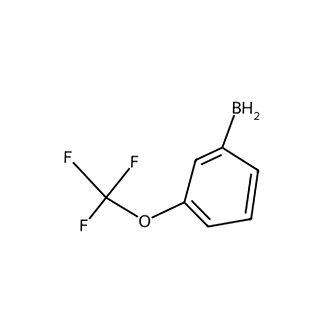 Bc1cccc(OC(F)(F)F)c1